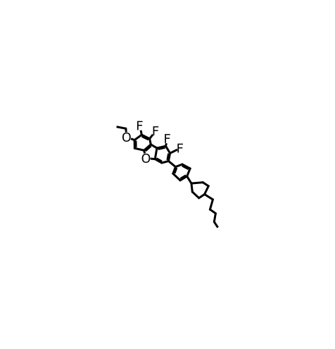 CCCCCC1CCC(c2ccc(-c3cc4oc5cc(OCC)c(F)c(F)c5c4c(F)c3F)cc2)CC1